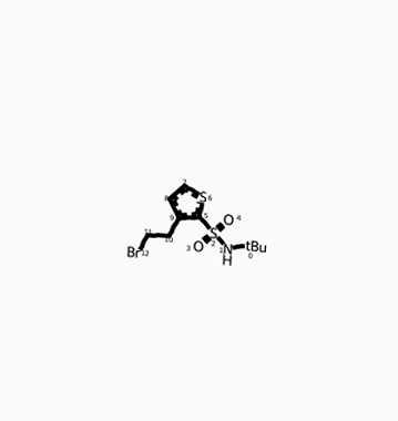 CC(C)(C)NS(=O)(=O)c1sccc1CCBr